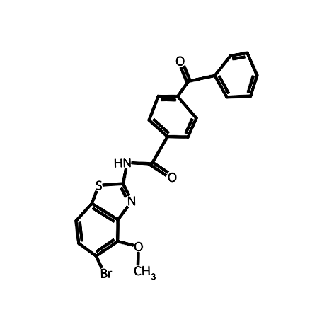 COc1c(Br)ccc2sc(NC(=O)c3ccc(C(=O)c4ccccc4)cc3)nc12